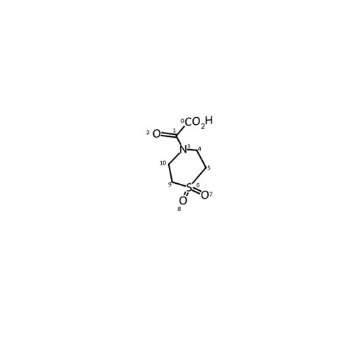 O=C(O)C(=O)N1CCS(=O)(=O)CC1